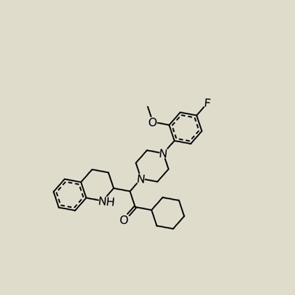 COc1cc(F)ccc1N1CCN(C(C(=O)C2CCCCC2)C2CCc3ccccc3N2)CC1